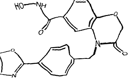 O=C(NO)c1ccc2c(c1)N(Cc1ccc(-c3ncco3)cc1)C(=O)CO2